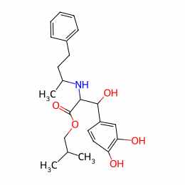 CC(C)COC(=O)C(NC(C)CCc1ccccc1)C(O)c1ccc(O)c(O)c1